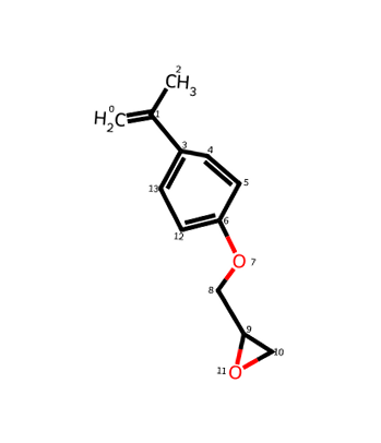 C=C(C)c1ccc(OCC2CO2)cc1